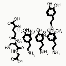 NC(CCC(=O)NC(CS)C(=O)NCC(=O)O)C(=O)O.NCCc1ccc(O)c(O)c1.NCCc1ccc(O)c(O)c1.NCCc1ccc(O)c(O)c1.NCCc1ccc(O)c(O)c1